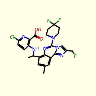 Cc1cc(C(C)Nc2ccc(Cl)nc2C(=O)O)c2nc(N3CCC(F)(F)CC3)n3cc(CF)nc3c2c1